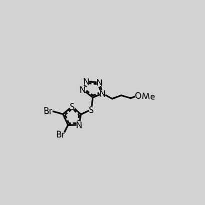 COCCCn1nnnc1Sc1nc(Br)c(Br)s1